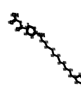 O=C(O)CC(=O)c1ccc(NCCCCCCCCCCCC2CCCC2)cc1